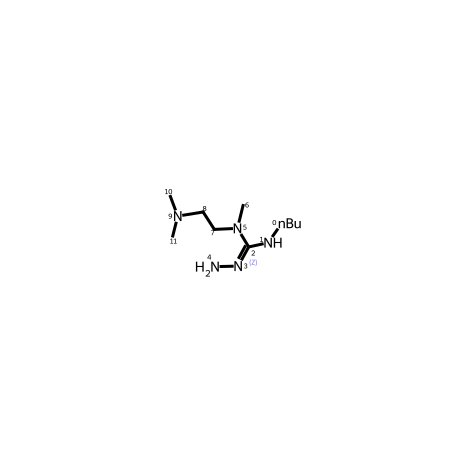 CCCCN/C(=N/N)N(C)CCN(C)C